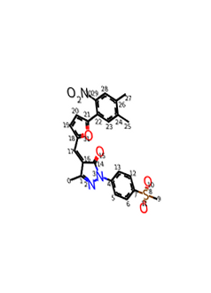 CC1=NN(c2ccc(S(C)(=O)=O)cc2)C(=O)C1=Cc1ccc(-c2cc(C)c(C)cc2[N+](=O)[O-])o1